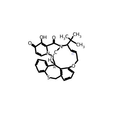 CC(C)(C)C1/C=C/COc2cccc3c2[C@H](c2ccccc2SC3)N2CN1C(=O)c1c(O)c(=O)ccn12